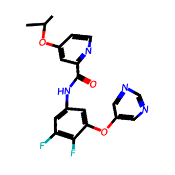 CC(C)Oc1ccnc(C(=O)Nc2cc(F)c(F)c(Oc3cncnc3)c2)c1